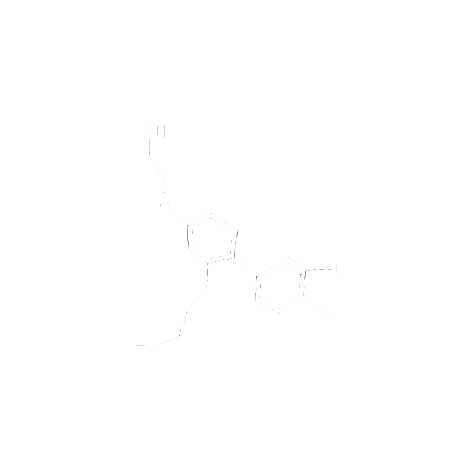 Cc1ccc(-c2ccc(OCCO)cc2OCCO)cc1F